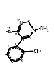 NN1C=C(c2ccccc2Cl)C(S)=NC1